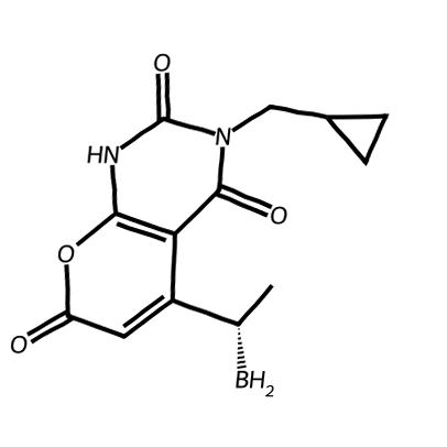 B[C@@H](C)c1cc(=O)oc2[nH]c(=O)n(CC3CC3)c(=O)c12